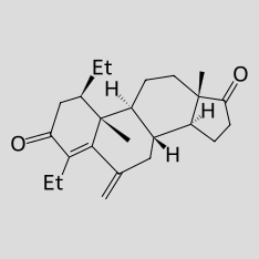 C=C1C[C@@H]2[C@H](CC[C@]3(C)C(=O)CC[C@@H]23)[C@]2(C)C1=C(CC)C(=O)C[C@H]2CC